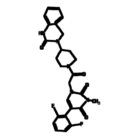 Cn1c(=O)c(-c2c(F)cccc2F)cn(CC(=O)N2CCC(N3Cc4ccccc4NC3=O)CC2)c1=O